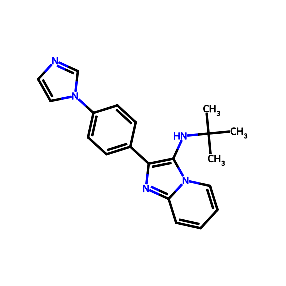 CC(C)(C)Nc1c(-c2ccc(-n3ccnc3)cc2)nc2ccccn12